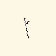 C[CH]CCCC(CCCCCCCCCCC)C(C)CC